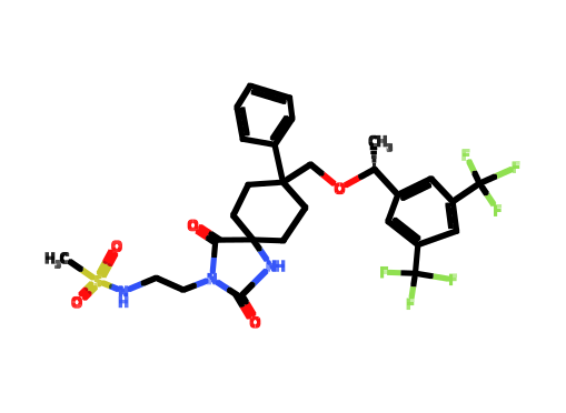 C[C@@H](OCC1(c2ccccc2)CCC2(CC1)NC(=O)N(CCNS(C)(=O)=O)C2=O)c1cc(C(F)(F)F)cc(C(F)(F)F)c1